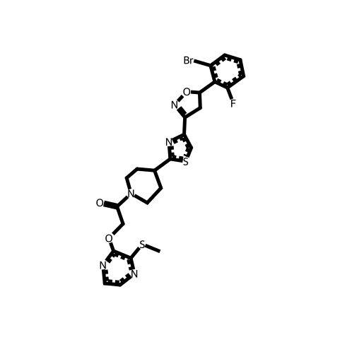 CSc1nccnc1OCC(=O)N1CCC(c2nc(C3=NOC(c4c(F)cccc4Br)C3)cs2)CC1